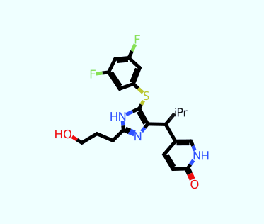 CC(C)C(c1ccc(=O)[nH]c1)c1nc(CCCO)[nH]c1Sc1cc(F)cc(F)c1